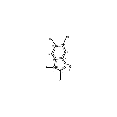 Cc1cc2[te]c(C)[n+](C)c2cc1C